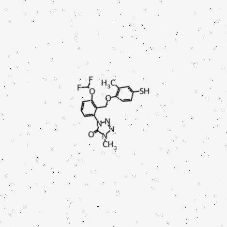 Cc1cc(S)ccc1OCc1c(OC(F)F)cccc1-n1nnn(C)c1=O